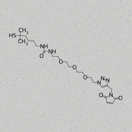 CC(C)(S)CCCCNC(=O)NCCOCCOCCOCCn1cc(CN2C(=O)C=CC2=O)nn1